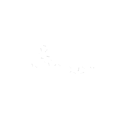 COc1ccc2c(c1)CCN(C1CCN(C(=O)Cn3cc(-c4cccc(F)c4Cl)c(=O)n(C(C)CNC(=O)C(C)C)c3=O)CC1)C(=O)N2